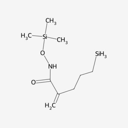 C=C(CCC[SiH3])C(=O)NO[Si](C)(C)C